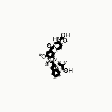 COc1cc(C(=O)N2CCC[C@@H](NC(=O)O)C2)cc2nc(-c3cc4ccccc4n3C[C@@H](C)CO)n(C)c12